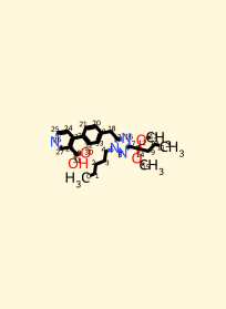 CCCCCn1nc(C(CCC)(OC)OC)nc1Cc1ccc(-c2ccncc2C(=O)O)cc1